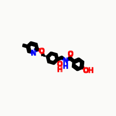 Cc1ccc(OC[C@H]2CC[C@@](O)(CNC(=O)c3ccc(O)cc3)CC2)nc1